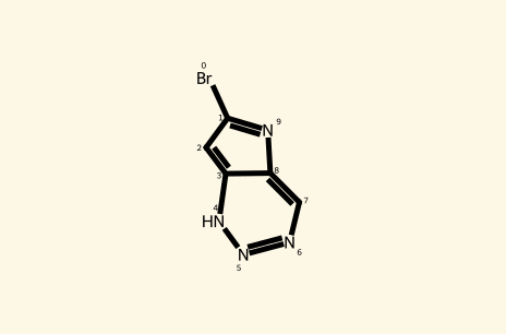 Brc1cc2[nH]nncc-2n1